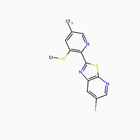 CCSc1cc(C(F)(F)F)cnc1-c1nc2cc(I)cnc2s1